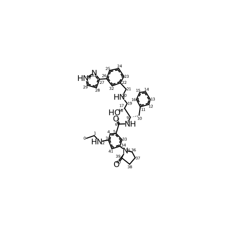 CCNc1cc(C(=O)N[C@@H](Cc2ccccc2)[C@H](O)CNCc2cccc(-c3cc[nH]n3)c2)cc(N2CCCC2=O)c1